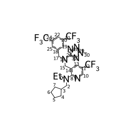 CCN(CC1CCCC1)c1ncc(C(F)(F)F)cc1CN(Cc1cc(C(F)(F)F)cc(C(F)(F)F)c1)c1nnn(C)n1